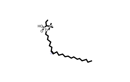 CCCCCCCCCCCCC/C=C\CCCCCCOP(=O)(O)C(CC)[N+](C)(C)C